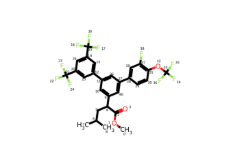 COC(=O)C(CC(C)C)c1cc(-c2cc(C(F)(F)F)cc(C(F)(F)F)c2)cc(-c2ccc(OC(F)(F)F)c(F)c2)c1